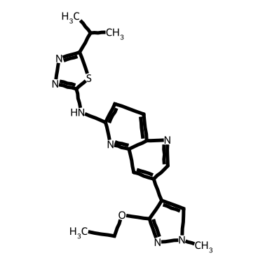 CCOc1nn(C)cc1-c1cnc2ccc(Nc3nnc(C(C)C)s3)nc2c1